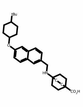 CC(C)(C)C1CCC(Oc2ccc3cc(CNC45CCC(C(=O)O)(CC4)CC5)ccc3c2)CC1